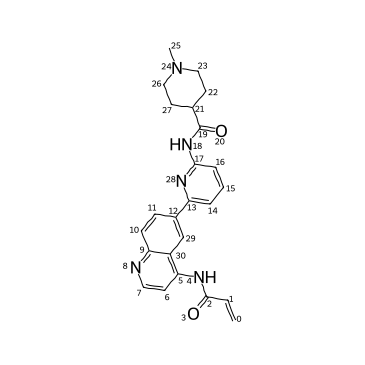 C=CC(=O)Nc1ccnc2ccc(-c3cccc(NC(=O)C4CCN(C)CC4)n3)cc12